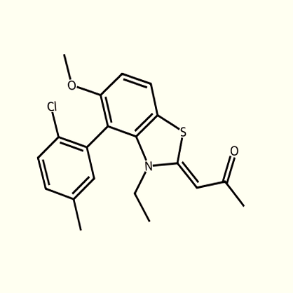 CCN1C(=CC(C)=O)Sc2ccc(OC)c(-c3cc(C)ccc3Cl)c21